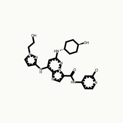 O=C(Nc1ccnc(Cl)c1)c1cnc2c(Nc3ccn(CCO)n3)cc(N[C@H]3CC[C@H](O)CC3)nn12